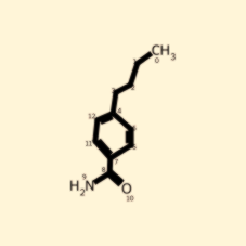 CCCCc1ccc(C(N)=O)cc1